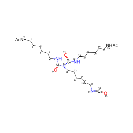 CC(=O)NCCCCCCNC(=O)N(CCCCCCN=C=O)C(=O)NCCCCCCNC(C)=O